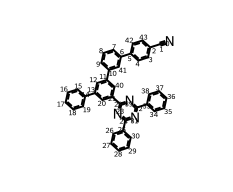 N#Cc1ccc(-c2cccc(-c3cc(-c4ccccc4)cc(-c4nc(-c5ccccc5)nc(-c5ccccc5)n4)c3)c2)cc1